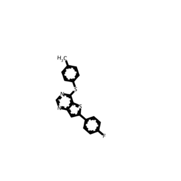 Cc1ccc(Sc2ncnc3cc(-c4ccc(F)cc4)sc23)cc1